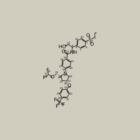 CCS(=O)(=O)c1ccc(C(CO)NC(=O)c2ccc(N3C[C@H](Oc4ccc(C(F)(F)F)cc4)C[C@@H]3COC(F)F)cc2)cc1